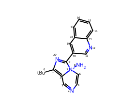 CC(C)(C)C1=C2C=NC=C[N+]2(N)C(c2cnc3ccccc3c2)=N1